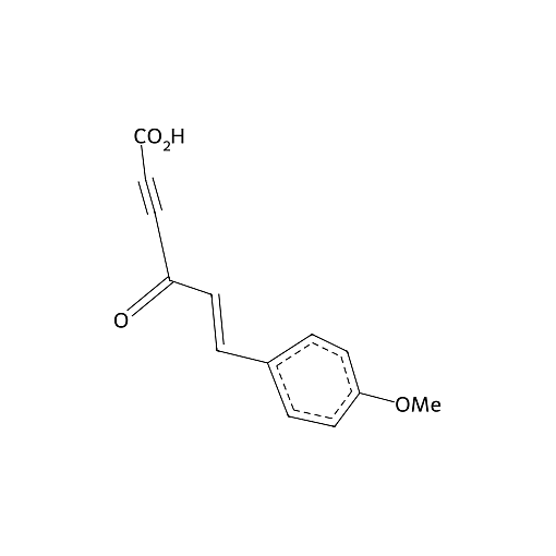 COc1ccc(C=CC(=O)C#CC(=O)O)cc1